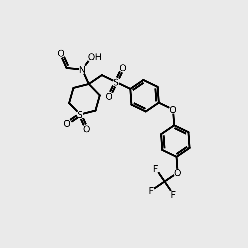 O=CN(O)C1(CS(=O)(=O)c2ccc(Oc3ccc(OC(F)(F)F)cc3)cc2)CCS(=O)(=O)CC1